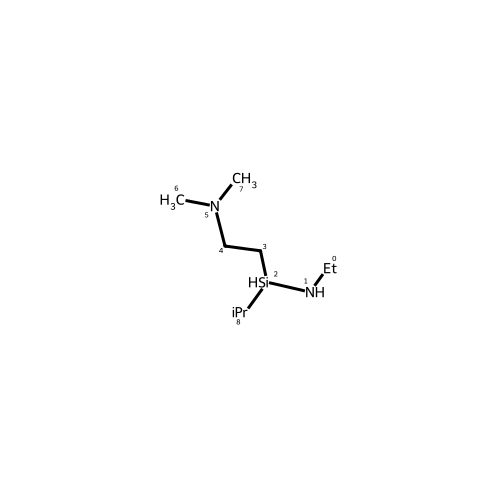 CCN[SiH](CCN(C)C)C(C)C